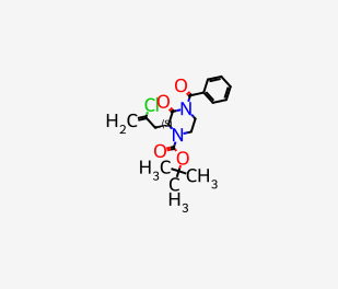 C=C(Cl)C[C@H]1C(=O)N(C(=O)c2ccccc2)CCN1C(=O)OC(C)(C)C